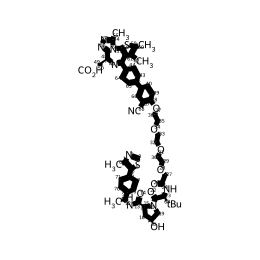 Cc1ncsc1-c1ccc([C@H](C)NC(=O)[C@@H]2C[C@@H](O)CN2C(=O)[C@@H](NC(=O)COCCOCCOCCOc2ccc(-c3ccc(C4=N[C@@H](CC(=O)O)c5nnc(C)n5-c5sc(C)c(C)c54)cc3)cc2C#N)C(C)(C)C)cc1